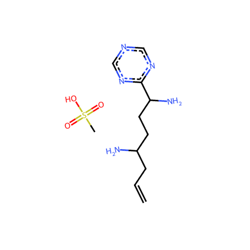 C=CCC(N)CCC(N)c1ncncn1.CS(=O)(=O)O